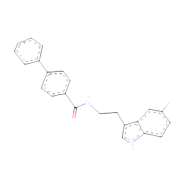 O=C(NCCc1c[nH]c2ccc(Cl)cc12)c1ccc(-c2ccccc2)cc1